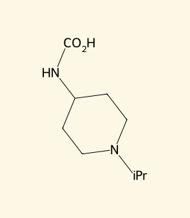 CC(C)N1CCC(NC(=O)O)CC1